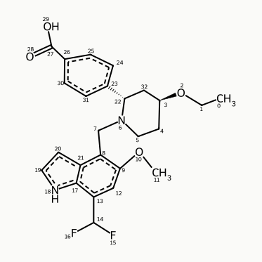 CCO[C@H]1CCN(Cc2c(OC)cc(C(F)F)c3[nH]ccc23)[C@H](c2ccc(C(=O)O)cc2)C1